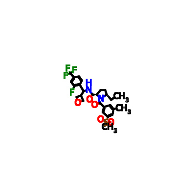 CC[C@@H]1CC[C@H](C(=O)NC(c2ccc(C(F)(F)F)cc2F)C2COC2)N1C(=O)c1cc(C)cc(S(C)(=O)=O)c1